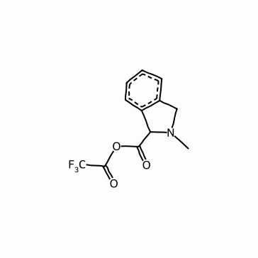 CN1Cc2ccccc2C1C(=O)OC(=O)C(F)(F)F